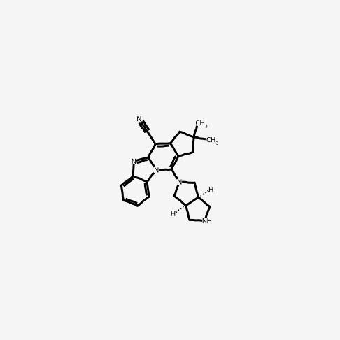 CC1(C)Cc2c(c(N3C[C@H]4CNC[C@H]4C3)n3c(nc4ccccc43)c2C#N)C1